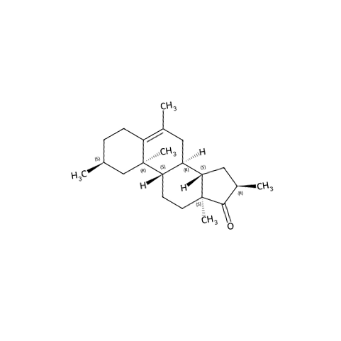 CC1=C2CC[C@H](C)C[C@]2(C)[C@H]2CC[C@]3(C)C(=O)[C@H](C)C[C@H]3[C@@H]2C1